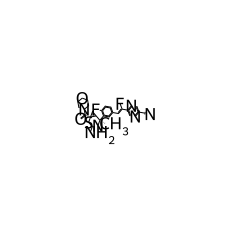 C[C@]1(c2cc(/C=C(\F)c3cnc(C#N)cn3)ccc2F)N=C(N)S[C@@]2(C(=O)N3CCOCC3)C=C21